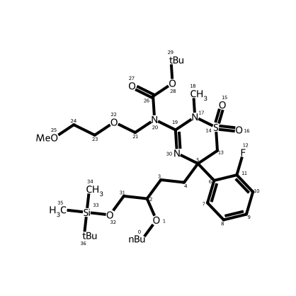 CCCCOC(CCC1(c2ccccc2F)CS(=O)(=O)N(C)C(N(COCCOC)C(=O)OC(C)(C)C)=N1)CO[Si](C)(C)C(C)(C)C